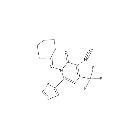 [C-]#[N+]c1c(C(F)(F)F)cc(-c2cccs2)n(N=C2CCCCC2)c1=O